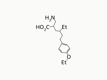 CCOc1ccc(CCC(CC)CC(CN)C(=O)O)cc1